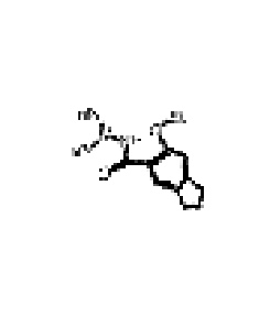 CCCN(CCC)NC(=O)c1cc2c(cc1OCC)CCC2